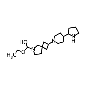 CCOC(O)N1CCC2(CC(N3CCC(C4CCCN4)CC3)C2)C1